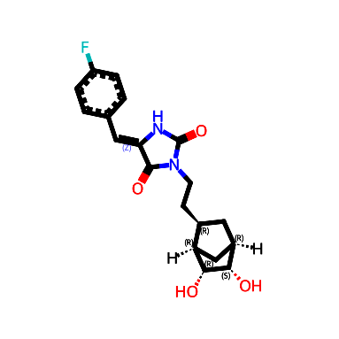 O=C1N/C(=C\c2ccc(F)cc2)C(=O)N1CC[C@H]1C[C@@H]2C[C@H]1[C@@H](O)[C@H]2O